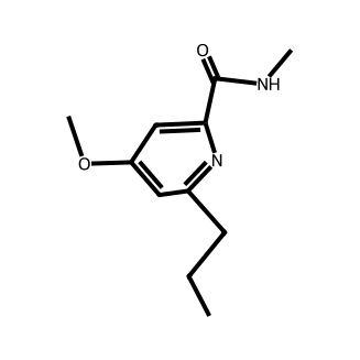 CCCc1cc(OC)cc(C(=O)NC)n1